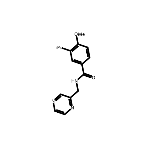 COc1ccc(C(=O)NCc2cnccn2)cc1C(C)C